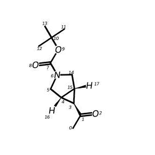 CC(=O)[C@H]1[C@@H]2CN(C(=O)OC(C)(C)C)C[C@@H]21